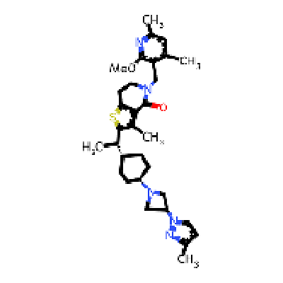 COc1nc(C)cc(C)c1CN1CCc2sc(C(C)[C@H]3CC[C@H](N4CC(n5ccc(C)n5)C4)CC3)c(C)c2C1=O